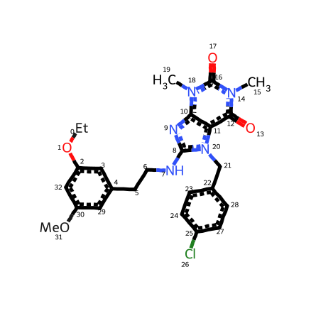 CCOc1cc(CCNc2nc3c(c(=O)n(C)c(=O)n3C)n2Cc2ccc(Cl)cc2)cc(OC)c1